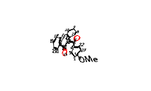 COc1ccc(-c2oc3ccccc3c2C(=O)c2ccccc2)cc1